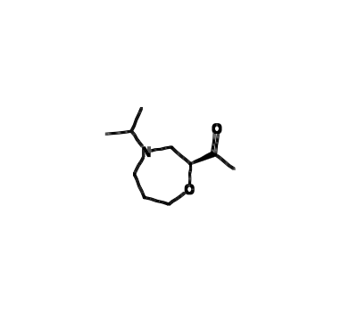 CC(=O)[C@@H]1CN(C(C)C)CCCO1